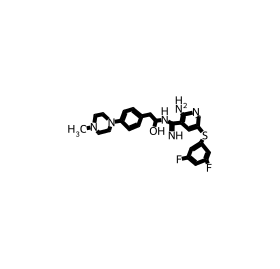 CN1CCN(c2ccc(CC(O)NC(=N)c3cc(Sc4cc(F)cc(F)c4)cnc3N)cc2)CC1